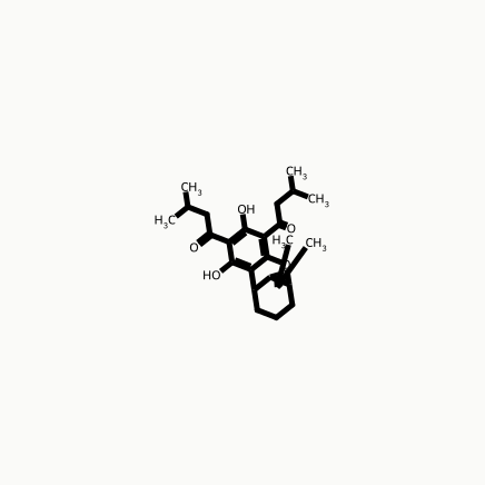 CC(C)CC(=O)c1c(O)c(C(=O)CC(C)C)c2c(c1O)C1CCCC3(O2)OC(C)(C)CC13